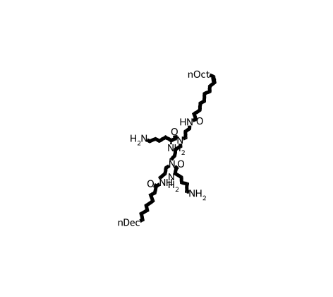 CCCCCCCC/C=C\CCCCCCCC(=O)NCCCN(CCCCN(CCCNC(=O)CCCCCCCCCCCCCCCCC)C(=O)[C@@H](N)CCCCN)C(=O)[C@@H](N)CCCCN